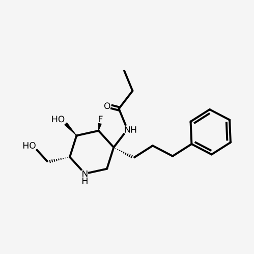 CCC(=O)N[C@@]1(CCCc2ccccc2)CN[C@H](CO)[C@@H](O)[C@H]1F